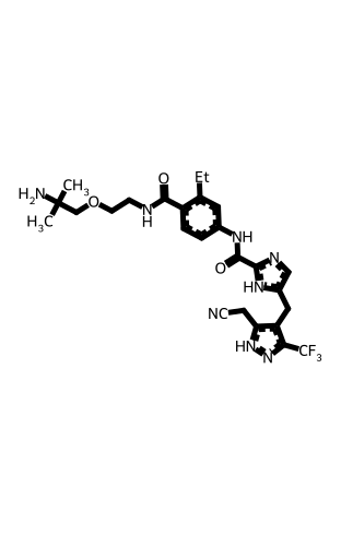 CCc1cc(NC(=O)c2ncc(Cc3c(C(F)(F)F)n[nH]c3CC#N)[nH]2)ccc1C(=O)NCCOCC(C)(C)N